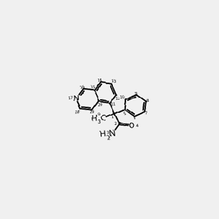 CC(C(N)=O)(c1ccccc1)c1cccc2cnccc12